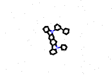 c1ccc(-c2cccc(-n3c4ccccc4c4cc5cc6c7ccccc7n(-c7ccccc7)c6cc5cc43)c2)cc1